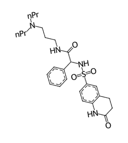 CCCN(CCC)CCCNC(=O)C(NS(=O)(=O)c1ccc2c(c1)CCC(=O)N2)c1ccccc1